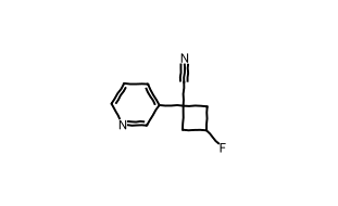 N#CC1(c2cccnc2)CC(F)C1